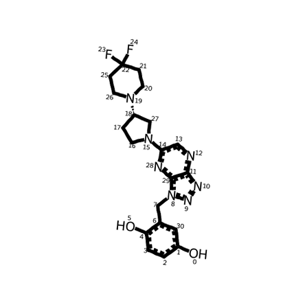 Oc1ccc(O)c(Cn2nnc3ncc(N4CC[C@H](N5CCC(F)(F)CC5)C4)nc32)c1